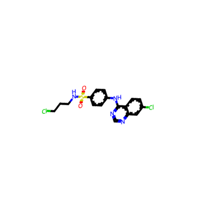 O=S(=O)(NCCCCl)c1ccc(Nc2ncnc3cc(Cl)ccc23)cc1